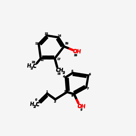 C=CCc1ccccc1O.Cc1cccc(O)c1C